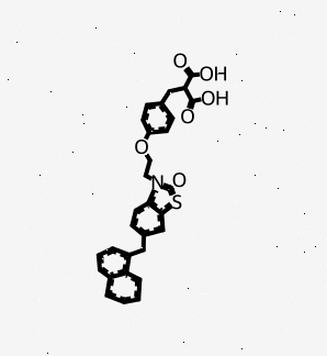 O=C(O)C(Cc1ccc(OCCn2c(=O)sc3cc(Cc4cccc5ccccc45)ccc32)cc1)C(=O)O